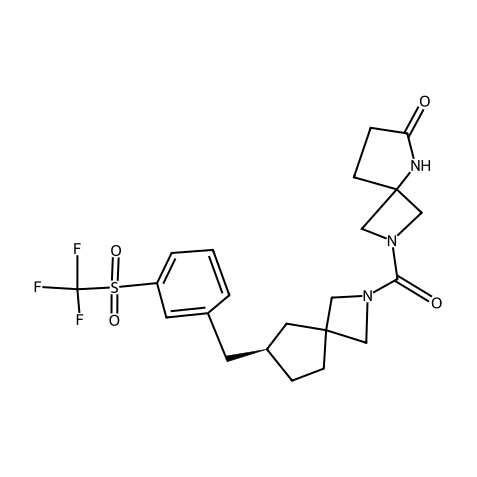 O=C1CCC2(CN(C(=O)N3CC4(CC[C@@H](Cc5cccc(S(=O)(=O)C(F)(F)F)c5)C4)C3)C2)N1